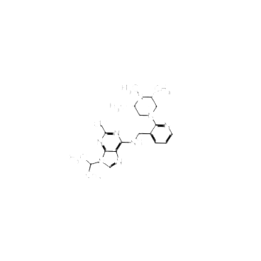 CC(C)n1cnc2c(NCc3cccnc3N3C[C@@H](C)N(C)[C@@H](C)C3)nc(Cl)nc21